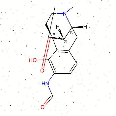 CN1CC[C@]23CC(=O)CC[C@H]2[C@H]1Cc1ccc(NC=O)c(O)c13